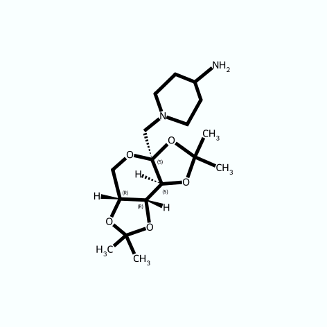 CC1(C)O[C@@H]2[C@@H](CO[C@@]3(CN4CCC(N)CC4)OC(C)(C)O[C@@H]23)O1